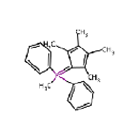 CC1=C(C)C(=P(C)(c2ccccc2)c2ccccc2)C(C)=C1C